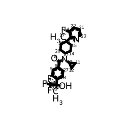 C[C@](O)(c1ccc(C(=O)N(C2CC2)[C@H]2CC[C@](C)(c3ncccc3F)CC2)cc1)C(F)(F)F